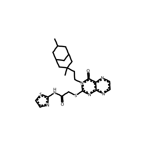 CC1CC2CC(C1)CC(C)(CCn1c(SCC(=O)Nc3nccs3)nc3nccnc3c1=O)C2